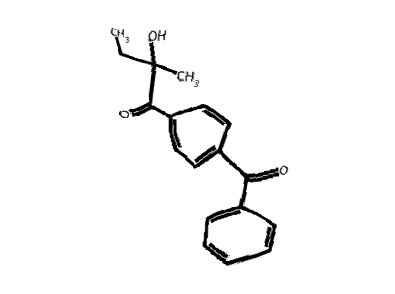 CCC(C)(O)C(=O)c1ccc(C(=O)c2ccccc2)cc1